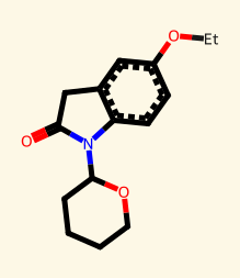 CCOc1ccc2c(c1)CC(=O)N2C1CCCCO1